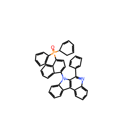 O=P(c1ccccc1)(c1ccc(-n2c3ccccc3c3c4ccccc4nc(-c4ccccc4)c32)c2ccccc12)[C@H]1C=CC=CC1